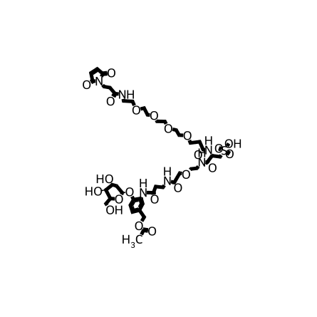 CC(=O)OCc1ccc(O[C@H]2C[C@@H](O)[C@@H](O)C(CO)O2)c(NC(=O)CCNC(=O)COCCNC(=O)C(CS(=O)(=O)O)NC(=O)CCOCCOCCOCCOCCNC(=O)CCN2C(=O)C=CC2=O)c1